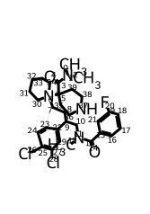 CN(C)C(=O)C1([N+]2(CCC(CN(C)C(=O)c3cccc(F)c3)c3ccc(Cl)c(Cl)c3)CCCCC2)CCNCC1